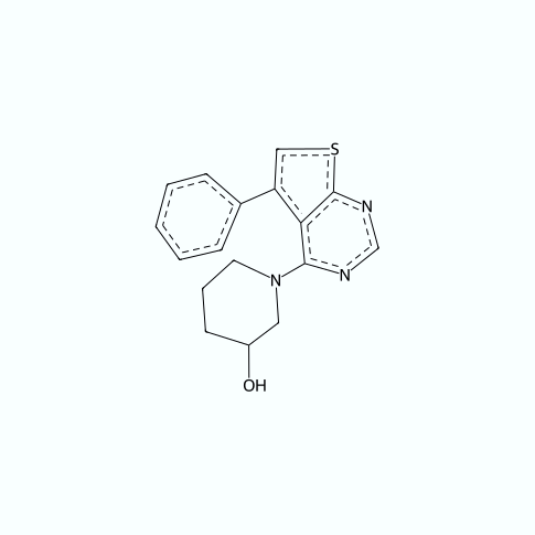 OC1CCCN(c2ncnc3scc(-c4ccccc4)c23)C1